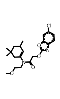 COCCN(C(=O)COc1nc2ccc(Cl)cc2o1)C1=CC(C)CC(C)(C)C1